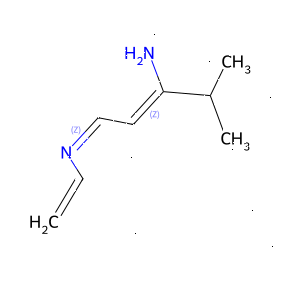 C=C/N=C\C=C(/N)C(C)C